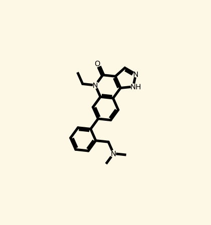 CCn1c(=O)c2cn[nH]c2c2ccc(-c3ccccc3CN(C)C)cc21